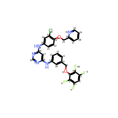 Fc1cc(F)c(F)c(OCc2cccc(Nc3cc(Nc4ccc(OCc5ccccn5)c(Cl)c4)ncn3)c2)c1F